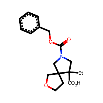 CCC1(C(=O)O)CN(C(=O)OCc2ccccc2)CC12CCOC2